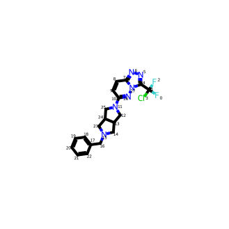 FC(F)(Cl)c1nnc2ccc(N3CC4CN(Cc5ccccc5)CC4C3)nn12